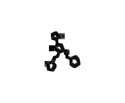 C1=CC(=CCc2[nH]c(-c3ccc[nH]3)cc2OCc2ccccc2)N=C1